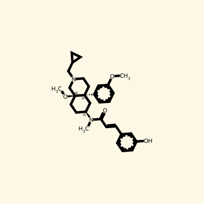 COc1cccc([C@@]23CCN(CC4CC4)C[C@@]2(OC)CC[C@H](N(C)C(=O)C=Cc2cccc(O)c2)C3)c1